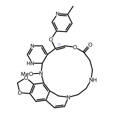 CON1c2c3c(cc4c2OCO4)C=CN(CCNCCC(=O)O/C=C(/Oc2ccc(C)nc2)C2=CN=CNC21)C3